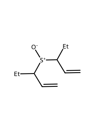 C=CC(CC)[S+]([O-])C(C=C)CC